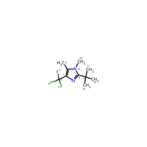 Cc1c(C(F)(F)F)nc(C(C)(C)C)n1C